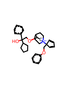 OC(COC1C[N+]2(C3(COc4ccccc4)C=CC=C3)CCC1CC2)(c1ccccc1)C1CCCC1